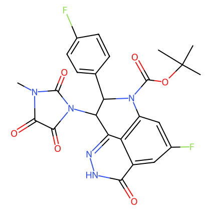 CN1C(=O)C(=O)N(C2c3n[nH]c(=O)c4cc(F)cc(c34)N(C(=O)OC(C)(C)C)C2c2ccc(F)cc2)C1=O